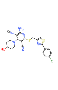 [C-]#[N+]c1c(N)nc(SCc2csc(-c3ccc(Cl)cc3)n2)c(C#N)c1N1CCC(O)CC1